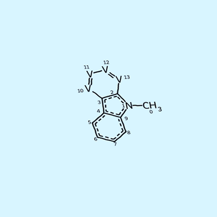 Cn1[c]2[c](c3ccccc31)[V]=[V][V]=[V]2